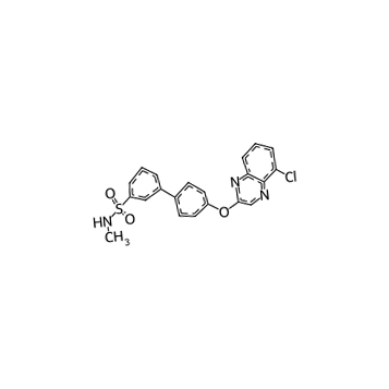 CNS(=O)(=O)c1cccc(-c2ccc(Oc3cnc4c(Cl)cccc4n3)cc2)c1